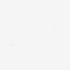 CC(C)(C)C(=O)N1Cc2c(F)cc(C(=O)O)cc2OCC1c1ccccc1